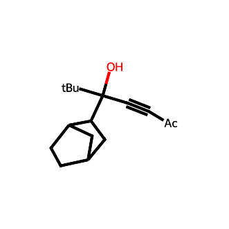 CC(=O)C#CC(O)(C1CC2CCC1C2)C(C)(C)C